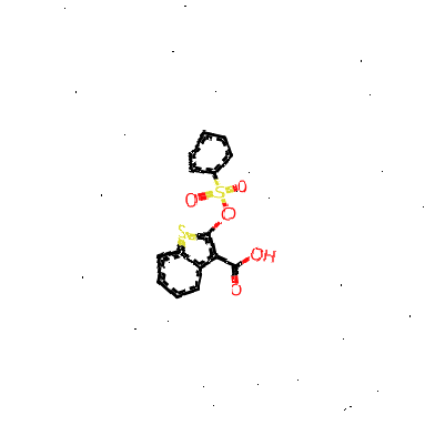 O=C(O)c1c(OS(=O)(=O)c2ccccc2)sc2ccccc12